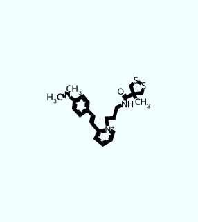 CN(C)c1ccc(/C=C/c2cccc[n+]2CCCNC(=O)C2(C)CSSC2)cc1